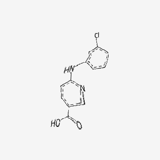 O=C(O)c1ccc(Nc2cccc(Cl)c2)nc1